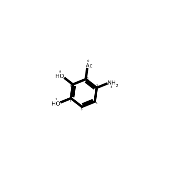 CC(=O)c1c(N)ccc(O)c1O